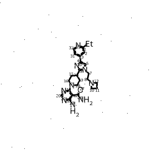 CCc1cc(-c2cn(CCN3CCC3)c(C3CCN(c4ncnc(N)c4C(N)=O)CC3)n2)ccn1